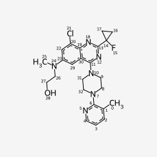 Cc1cccnc1N1CCN(c2nc(C3(F)CC3)nc3c(Cl)cc(N(C)CCO)cc23)CC1